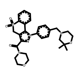 CC1(C)CN(Cc2ccc(-n3nc(C(=O)N4CCOCC4)c4c3-c3ccccc3S(=O)(=O)C4)cc2)CCO1